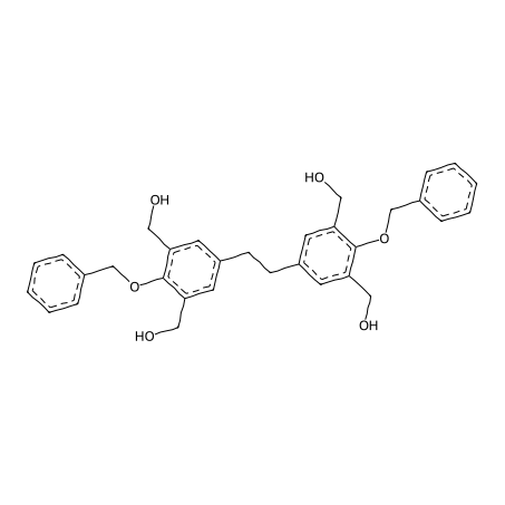 OCc1cc(CCc2cc(CO)c(OCc3ccccc3)c(CO)c2)cc(CO)c1OCc1ccccc1